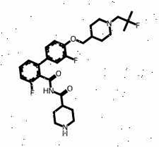 CC(C)(F)CN1CCC(COc2ccc(-c3cccc(F)c3C(=O)NC(=O)C3CCNCC3)cc2F)CC1